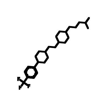 CC(C)CCCC1CCC(CCC2CCC(c3ccc(C(F)(F)F)cc3)CC2)CC1